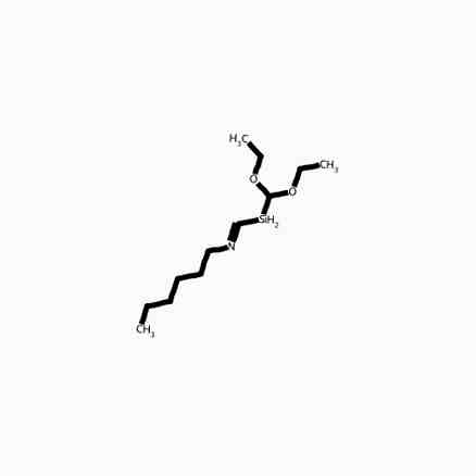 CCCCCCN=C[SiH2]C(OCC)OCC